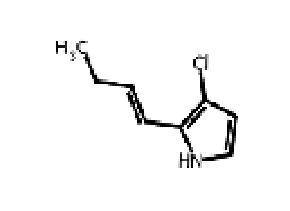 CCC=Cc1[nH]ccc1Cl